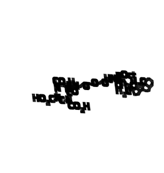 CCCCCCCCN(CCC[C@@H](C)C1CCC2C3CCC4CCCC[C@]4(C)C3CC[C@@]21C)C(=O)NCCOCCOCCOCCNC(=O)CN1CCN(CC(=O)O)CCN(CC(=O)O)CCN(CC(=O)O)CC1